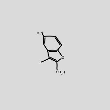 CCc1c(C(=O)O)oc2ccc(N)cc12